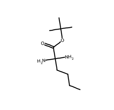 CCCCC(N)(N)C(=O)OC(C)(C)C